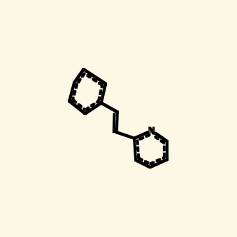 C(=Cc1ccccn1)c1ccccc1